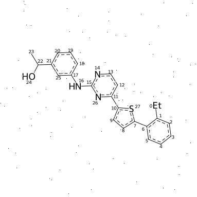 CCc1ccccc1-c1ccc(-c2ccnc(Nc3cccc(C(C)O)c3)n2)s1